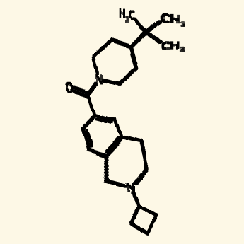 CC(C)(C)C1CCN(C(=O)c2ccc3c(c2)CCN(C2CCC2)C3)CC1